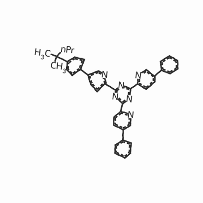 CCCC(C)(C)c1ccc(-c2ccc(-c3nc(-c4ccc(-c5ccccc5)cn4)nc(-c4ccc(-c5ccccc5)cn4)n3)nc2)cc1